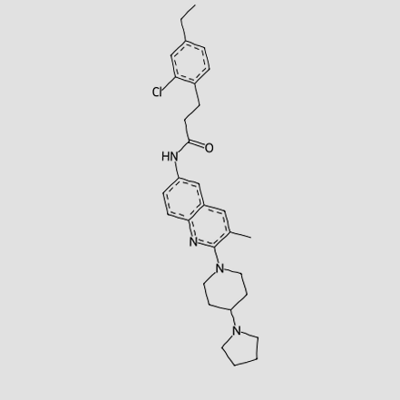 CCc1ccc(CCC(=O)Nc2ccc3nc(N4CCC(N5CCCC5)CC4)c(C)cc3c2)c(Cl)c1